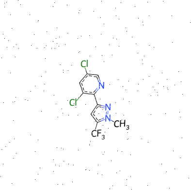 Cn1nc(-c2ncc(Cl)cc2Cl)cc1C(F)(F)F